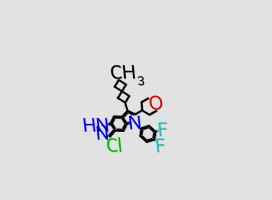 CC1CC2(C1)CC(c1c(C3CCOCC3)n(-c3ccc(F)c(F)c3)c3cc4c(Cl)n[nH]c4cc13)C2